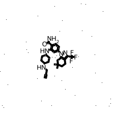 C#CCN[C@H]1CC[C@H](Nc2cc(-n3nc(C(F)(F)F)c4c3CC(C)(C)CC4)ccc2C(N)=O)CC1